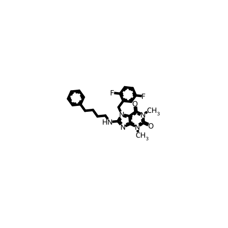 Cn1c(=O)c2c(nc(NCCCCc3ccccc3)n2Cc2cc(F)ccc2F)n(C)c1=O